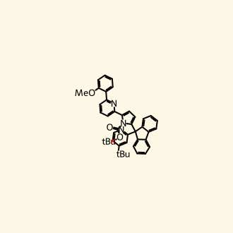 COc1ccccc1-c1cccc(-c2ccc(C3(c4cc(C(C)(C)C)ccn4)c4ccccc4-c4ccccc43)n2C(=O)OC(C)(C)C)n1